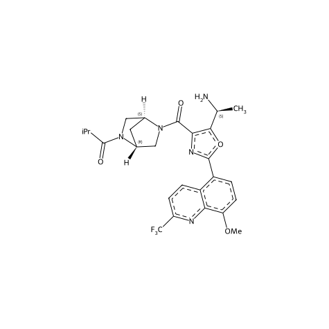 COc1ccc(-c2nc(C(=O)N3C[C@H]4C[C@H]3CN4C(=O)C(C)C)c([C@H](C)N)o2)c2ccc(C(F)(F)F)nc12